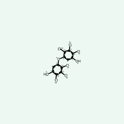 Oc1cc(Oc2cc(O)c(Cl)c(Cl)c2Cl)c(Cl)c(Cl)c1Cl